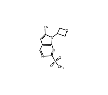 CS(=O)(=O)c1ncc2cc(C#N)n(C3COC3)c2n1